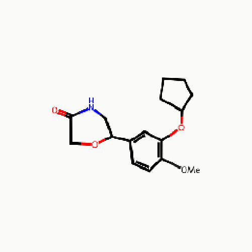 COc1ccc(C2CNC(=O)CO2)cc1OC1CCCC1